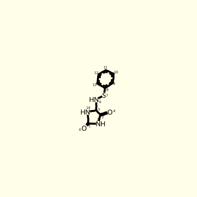 O=C1NC(=O)C(NSc2ccccc2)N1